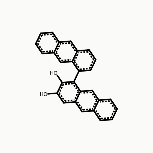 Oc1cc2cc3ccccc3cc2c(-c2cccc3cc4ccccc4cc23)c1O